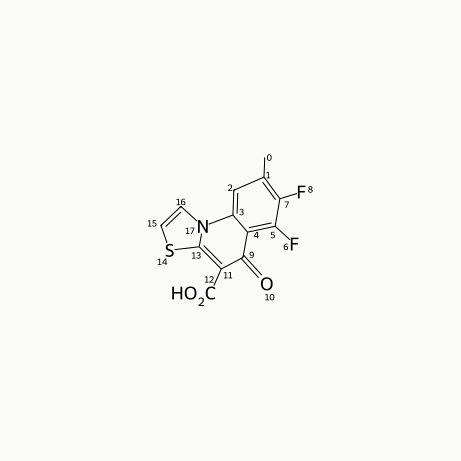 Cc1cc2c(c(F)c1F)c(=O)c(C(=O)O)c1sccn12